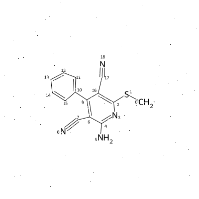 [CH2]Sc1nc(N)c(C#N)c(-c2ccccc2)c1C#N